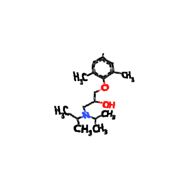 Cc1c[c]cc(C)c1OCC(O)CN(C(C)C)C(C)C